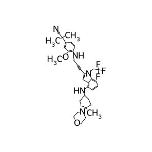 COc1cc(C(C)(C)C#N)ccc1NCC#Cc1cc2c(NC3CCC(C)(N4CCOCC4)CC3)cccc2n1CC(F)(F)F